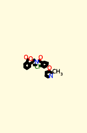 Cc1ncccc1Oc1ccc(C(=O)N2CC[C@@]3(C2)OC(=O)c2ccccc23)c(Cl)c1